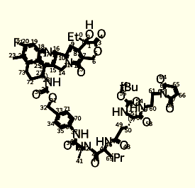 CC[C@@]1(O)C(=O)OCc2c1cc1n(c2=O)Cc2c-1nc1cc(F)c(C)c3c1c2[C@@H](NC(=O)OCc1ccc(NC(=O)[C@H](C)NC(=O)C(NC(=O)CC[C@H](NC(=O)OC(C)(C)C)C(=O)NCCN2C(=O)C=CC2=O)C(C)C)cc1)CC3